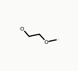 [CH2]OCC[O]